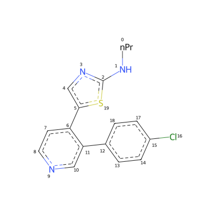 CCCNc1ncc(-c2ccncc2-c2ccc(Cl)cc2)s1